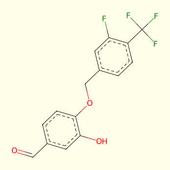 O=Cc1ccc(OCc2ccc(C(F)(F)F)c(F)c2)c(O)c1